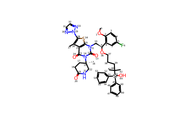 COc1ccc(F)cc1[C@H](Cn1c(=O)n([C@]2(C)CCC(=O)NC2)c(=O)c2c(C)c(-n3nccn3)sc21)OCCCC(C)(C)[Si](O)(c1ccccc1)c1ccccc1